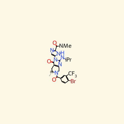 CNC(=O)c1ncc(-n2c(NC(C)C)nc3c(c2=O)C[C@@H](C)N(C(=O)c2ccc(Br)c(C(F)(F)F)c2)C3)n1C